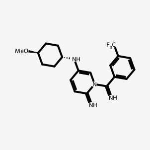 CO[C@H]1CC[C@H](Nc2ccc(=N)n(C(=N)c3cccc(C(F)(F)F)c3)c2)CC1